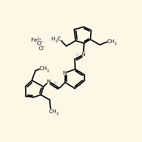 CCc1cccc(CC)c1/N=C/c1cccc(/C=N/c2c(CC)cccc2CC)n1.[Cl-].[Cl-].[Fe+2]